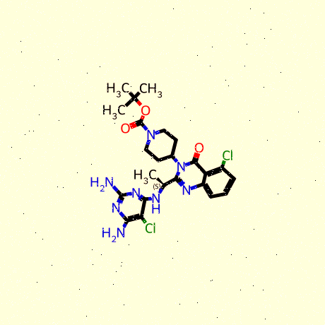 C[C@H](Nc1nc(N)nc(N)c1Cl)c1nc2cccc(Cl)c2c(=O)n1C1CCN(C(=O)OC(C)(C)C)CC1